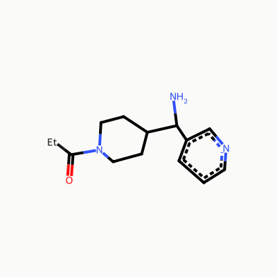 CCC(=O)N1CCC(C(N)c2cccnc2)CC1